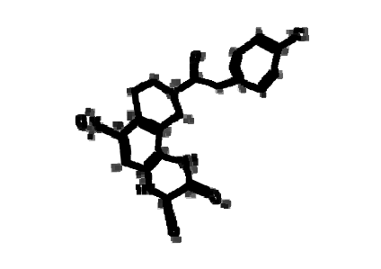 O=C(Cc1ccc(Cl)cc1)N1CCc2c([N+](=O)[O-])cc3[nH]c(=O)c(=O)[nH]c3c2C1